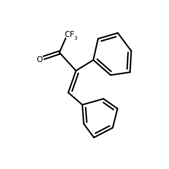 O=C(C(=Cc1ccccc1)c1ccccc1)C(F)(F)F